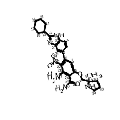 C[C@@]1(COc2cc(-c3ccc4[nH]c(C5CCCCC5)nc4c3)c([N+](=O)[O-])c(N)c2C(N)=O)CCCN1